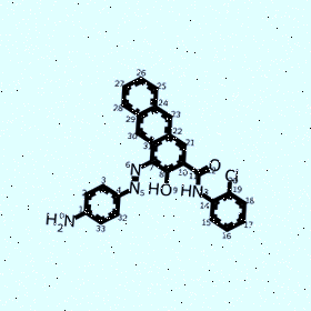 Nc1ccc(N=Nc2c(O)c(C(=O)Nc3ccccc3Cl)cc3cc4ccccc4cc23)cc1